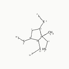 CC1(CS)C(SI)CC(SI)C1SI